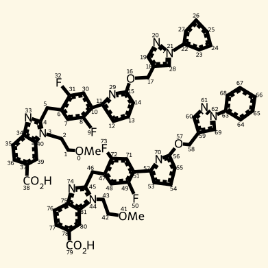 COCCn1c(Cc2cc(F)c(-c3cccc(OCc4cnn(-c5ccccc5)c4)n3)cc2F)nc2ccc(C(=O)O)cc21.COCCn1c(Cc2cc(F)c(-c3cccc(OCc4cnn(-c5ccccc5)c4)n3)cc2F)nc2ccc(C(=O)O)cc21